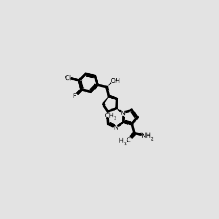 C=C(N)c1ccn([C@H]2CC[C@@H]([C@@H](O)c3ccc(Cl)c(F)c3)C2)c1/N=C\C